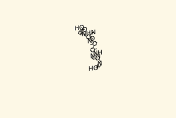 Cc1c(Nc2nccc3cc(CN4CC[C@@H](O)C4)cnc23)cccc1-c1cccc(-c2nc3cc(CN[C@H]4CCC[C@H]4C(=O)O)cc(C#N)c3o2)c1C